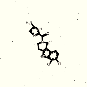 C[C@@H]1c2c([nH]c3c(Cl)c(Cl)ccc23)CCN1C(=O)c1ncc(N)[nH]1